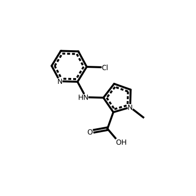 Cn1ccc(Nc2ncccc2Cl)c1C(=O)O